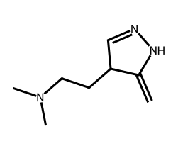 C=C1NN=CC1CCN(C)C